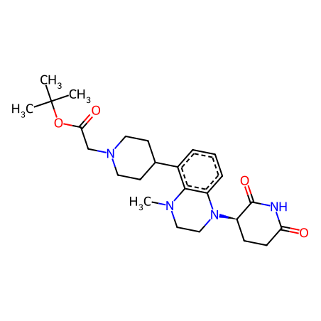 CN1CCN([C@@H]2CCC(=O)NC2=O)c2cccc(C3CCN(CC(=O)OC(C)(C)C)CC3)c21